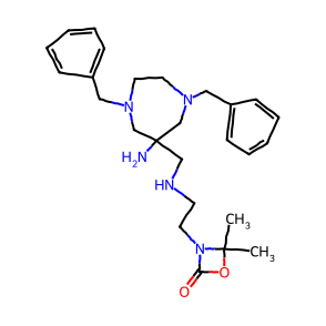 CC1(C)OC(=O)N1CCNCC1(N)CN(Cc2ccccc2)CCN(Cc2ccccc2)C1